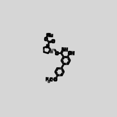 CC(C)(C)OC(=O)N1CCC[C@H]1COC(=N)c1cc(-c2ccc(OC(F)(F)F)cc2)ccc1O